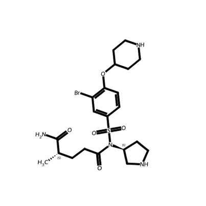 C[C@@H](C[CH]C(=O)N([C@H]1CCNC1)S(=O)(=O)c1ccc(OC2CCNCC2)c(Br)c1)C(N)=O